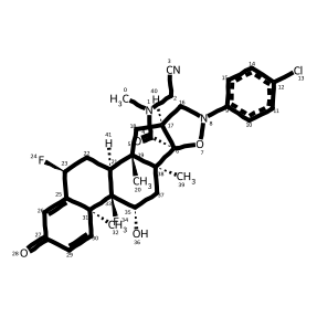 CN(CC#N)C(=O)[C@@]12ON(c3ccc(Cl)cc3)C[C@@H]1C[C@@]1(C)[C@@H]3C[C@H](F)C4=CC(=O)C=C[C@]4(C)[C@@]3(F)[C@@H](O)C[C@@]12C